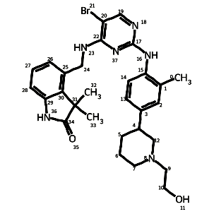 Cc1cc(C2CCCN(CCO)C2)ccc1Nc1ncc(Br)c(NCc2cccc3c2C(C)(C)C(=O)N3)n1